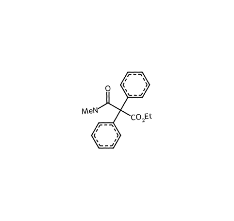 CCOC(=O)C(C(=O)NC)(c1ccccc1)c1ccccc1